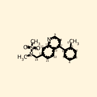 Cc1ccccc1-c1ccnc2cc(CN(C)S(C)(=O)=O)ccc12